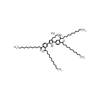 CCCCCCCCCCCC(=O)c1ccc(C2=CC(CCCC)=C(c3ccc(C(=O)CCCCCCCCCCC)c(C(=O)CCCCCCCCCCC)c3)[N+]2=[N-])cc1C(=O)CCCCCCCCCCC.[Pd]